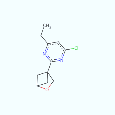 CCc1cc(Cl)nc(C23COC(C2)C3)n1